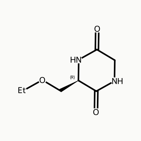 CCOC[C@H]1NC(=O)CNC1=O